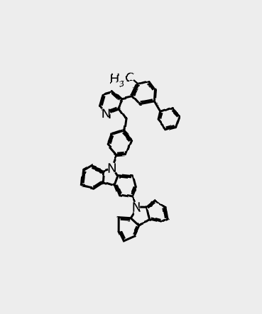 Cc1ccc(-c2ccccc2)cc1-c1cccnc1Cc1ccc(-n2c3ccccc3c3cc(-n4c5ccccc5c5ccccc54)ccc32)cc1